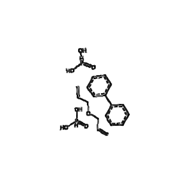 C=CCOCC=C.O=[PH](O)O.O=[PH](O)O.c1ccc(-c2ccccc2)cc1